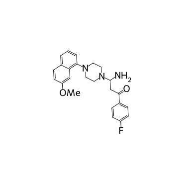 COc1ccc2cccc(N3CCN(C(N)CC(=O)c4ccc(F)cc4)CC3)c2c1